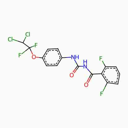 O=C(NC(=O)c1c(F)cccc1F)Nc1ccc(OC(F)(F)C(Cl)Cl)cc1